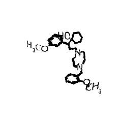 COc1cccc(C(CCN2CCN(Cc3ccccc3OC)CC2)C2(O)CCCCC2)c1